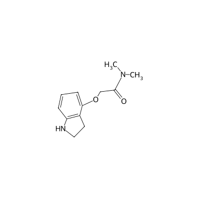 CN(C)C(=O)COc1cccc2c1CCN2